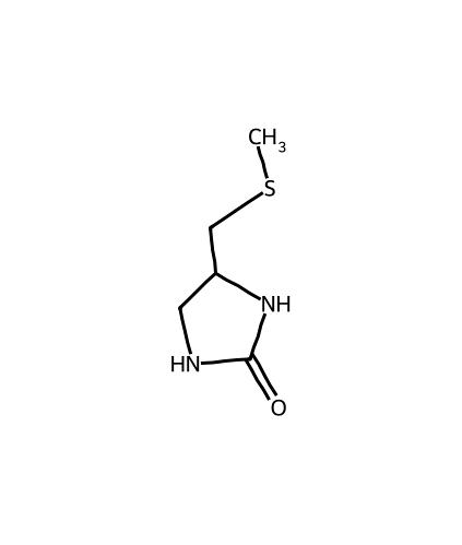 CSCC1CNC(=O)N1